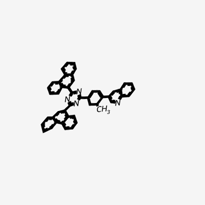 CC1CC(c2nc(-c3cc4ccccc4c4ccccc34)nc(-c3cc4ccccc4c4ccccc34)n2)=CC=C1c1cnc2ccccc2c1